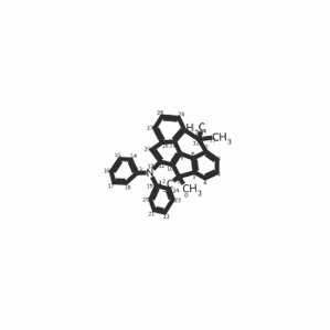 CC1(C)c2cccc3c2-c2c1c(N(c1ccccc1)c1ccccc1)cc1cccc(c21)C3(C)C